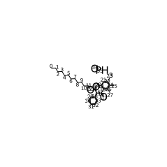 CCCCCCCCCCCCOC(=O)C(C(=O)c1c(C)cc(C)c(C)c1C)c1ccccc1.O=[PH3]